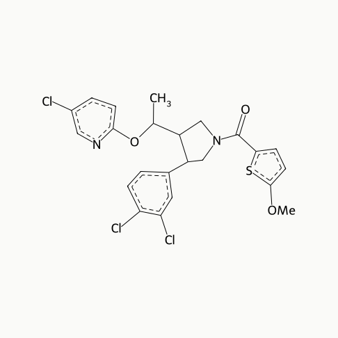 COc1ccc(C(=O)N2CC(c3ccc(Cl)c(Cl)c3)C(C(C)Oc3ccc(Cl)cn3)C2)s1